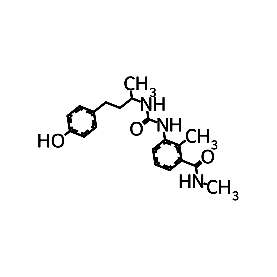 CNC(=O)c1cccc(NC(=O)NC(C)CCc2ccc(O)cc2)c1C